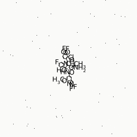 COc1cc(C(=O)NC[C@@](O)(c2ccc(F)cc2)c2cc3c(c(-c4ccc5c(c4Cl)OC(F)(F)O5)n2)OC[C@]3(C)C(N)=O)cc2cn(C(F)F)nc12